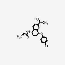 C=CC(=O)N[C@H]1CC[C@@H](Oc2ccc(Cl)cc2)c2nc(N(C)C)ccc21